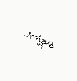 CC(=O)NCCCS(=O)(=O)OCC(C)(C)[C@@H](O)C(=O)O[C@H](C)c1ccccc1